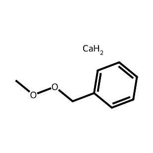 COOCc1ccccc1.[CaH2]